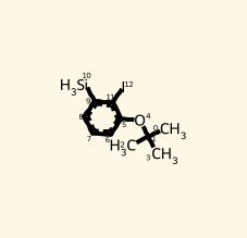 CC(C)(C)Oc1cccc([SiH3])c1I